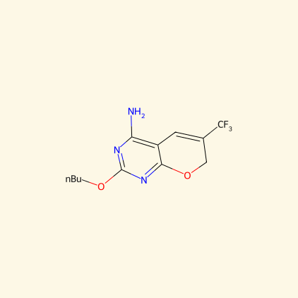 CCCCOc1nc(N)c2c(n1)OCC(C(F)(F)F)=C2